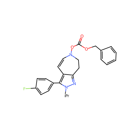 CC(C)n1nc2c(c1-c1ccc(F)cc1)C=CN(OC(=O)OCc1ccccc1)CC2